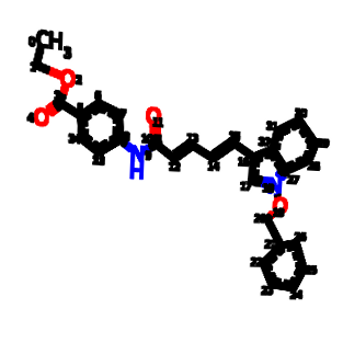 CCOC(=O)c1ccc(NC(=O)C=CC=Cc2cn(OCc3ccccc3)c3ccccc23)cc1